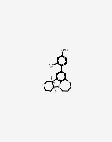 COc1ccc(-c2cc3c4c(c2)[C@@H]2CNCC[C@@H]2N4CCCO3)c(C(F)(F)F)c1